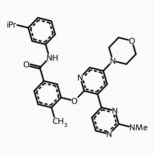 CNc1nccc(-c2cc(N3CCOCC3)cnc2Oc2cc(C(=O)Nc3cccc(C(C)C)c3)ccc2C)n1